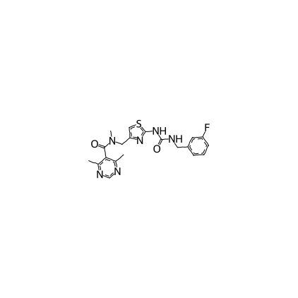 Cc1ncnc(C)c1C(=O)N(C)Cc1csc(NC(=O)NCc2cccc(F)c2)n1